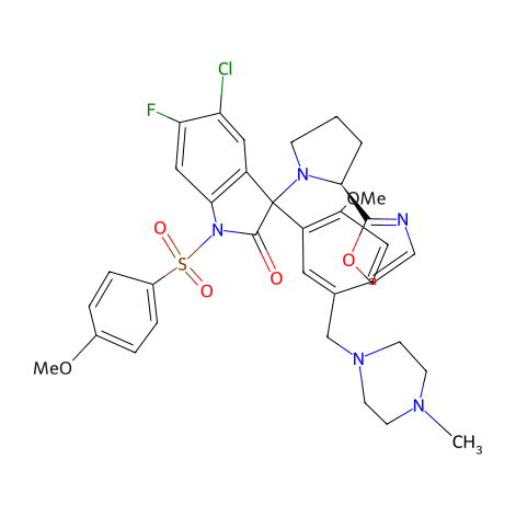 COc1ccc(S(=O)(=O)N2C(=O)C(c3cc(CN4CCN(C)CC4)ccc3OC)(N3CCC[C@H]3c3ncco3)c3cc(Cl)c(F)cc32)cc1